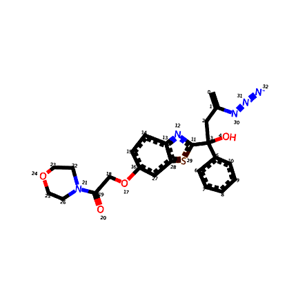 C=C(CC(O)(c1ccccc1)c1nc2ccc(OCC(=O)N3CCOCC3)cc2s1)N=[N+]=[N-]